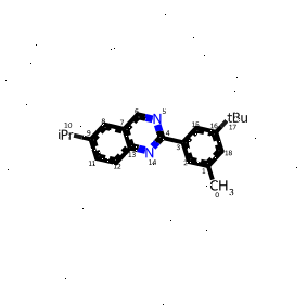 Cc1cc(-c2ncc3cc(C(C)C)ccc3n2)cc(C(C)(C)C)c1